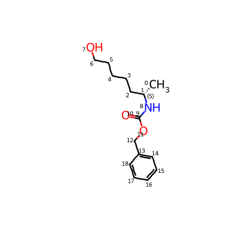 C[C@@H](CCCCCO)NC(=O)OCc1ccccc1